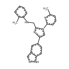 Cc1cccc(-n2cc(-c3ccc4[nH]ncc4c3)nc2CNc2ccccc2C)n1